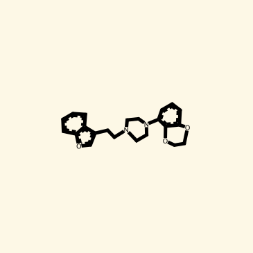 c1cc2c(c(N3CCN(CCc4coc5ccccc45)CC3)c1)OCCO2